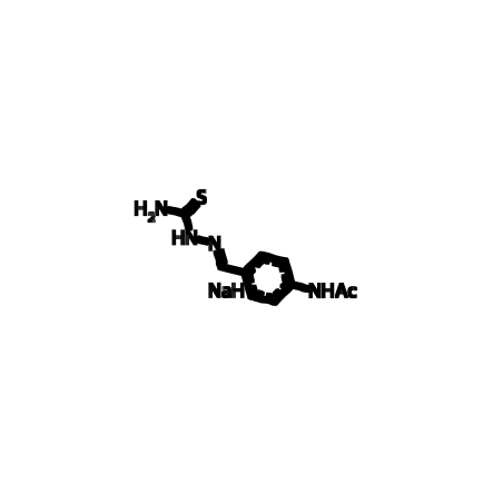 CC(=O)Nc1ccc(C=NNC(N)=S)cc1.[NaH]